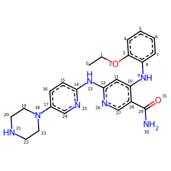 CCOc1ccccc1Nc1cc(Nc2ccc(N3CCNCC3)cn2)ncc1C(N)=O